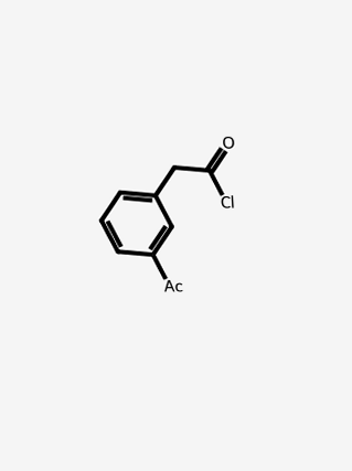 CC(=O)c1cccc(CC(=O)Cl)c1